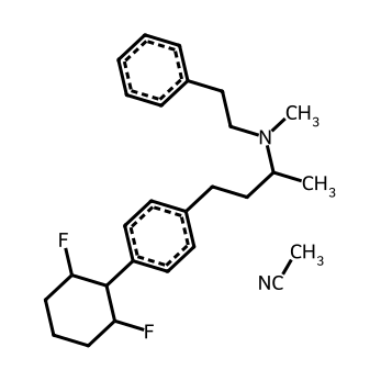 CC#N.CC(CCc1ccc(C2C(F)CCCC2F)cc1)N(C)CCc1ccccc1